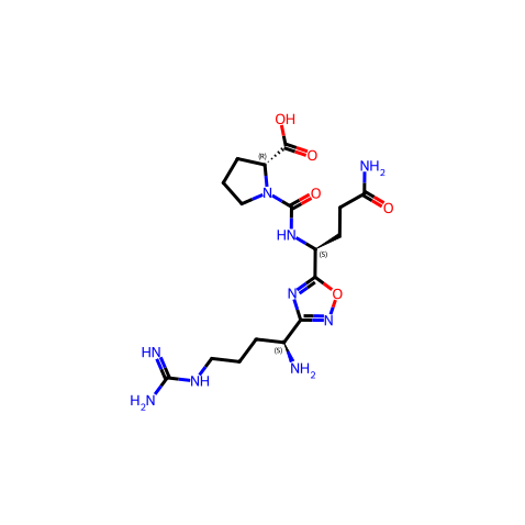 N=C(N)NCCC[C@H](N)c1noc([C@H](CCC(N)=O)NC(=O)N2CCC[C@@H]2C(=O)O)n1